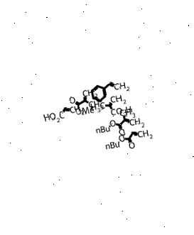 C=C(C)C(=O)O.C=C(C)C(=O)OC.C=C(C)C(=O)OCCCC.C=CC(=O)O.C=CC(=O)OCCCC.C=Cc1ccccc1